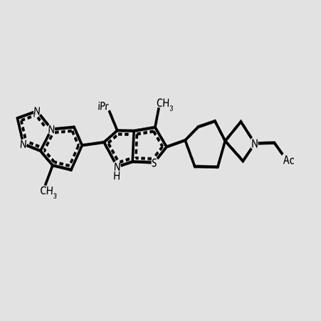 CC(=O)CN1CC2(CCC(c3sc4[nH]c(-c5cc(C)c6ncnn6c5)c(C(C)C)c4c3C)CC2)C1